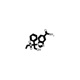 CCS(=O)(=O)C(CO)(c1ccccc1)n1cnc2cc(C(N)=O)ccc21